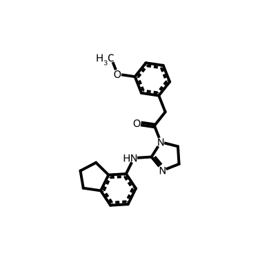 COc1cccc(CC(=O)N2CCN=C2Nc2cccc3c2CCC3)c1